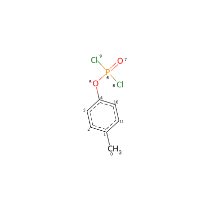 Cc1ccc(OP(=O)(Cl)Cl)cc1